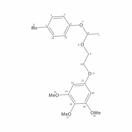 CCC(C)c1ccc(OC(C)OCCOc2cc(OC)c(OC)c(OC)c2)cc1